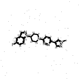 Cn1cc(-c2ccc(N3CCC(n4ncc5cc(F)ccc54)CC3)nn2)cn1